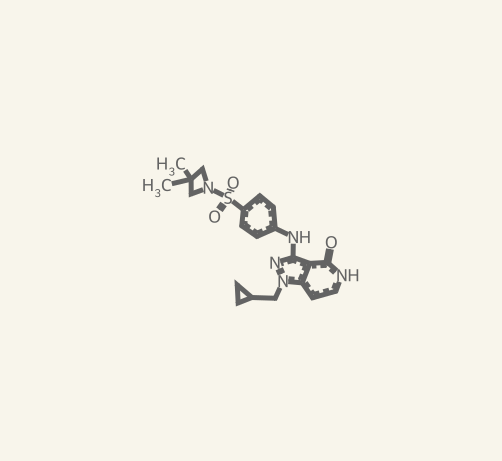 CC1(C)CN(S(=O)(=O)c2ccc(Nc3nn(CC4CC4)c4cc[nH]c(=O)c34)cc2)C1